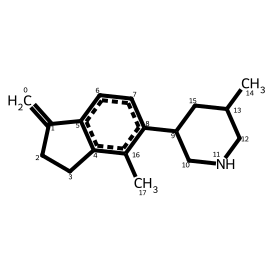 C=C1CCc2c1ccc(C1CNCC(C)C1)c2C